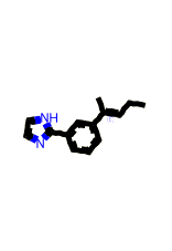 CC/C=C(\C)c1cccc(-c2ncc[nH]2)c1